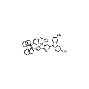 N#Cc1ccc2c(c1)c1cc(C#N)ccc1n2-c1cnc2c(c1)C1(c3ccccc3Sc3ccc(-n4c5ccccc5c5ccccc54)cc31)c1cc(-n3c4ccccc4c4ccccc43)cnc1-2